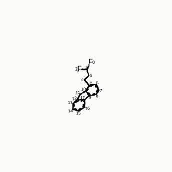 FC(F)CCc1cccc2c1Cc1ccccc1-2